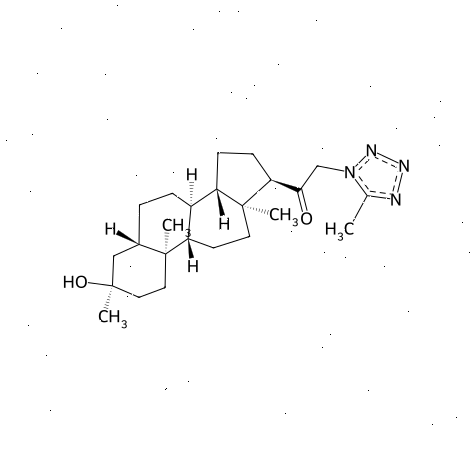 Cc1nnnn1CC(=O)[C@@H]1CC[C@H]2[C@@H]3CC[C@H]4C[C@](C)(O)CC[C@]4(C)[C@H]3CC[C@]12C